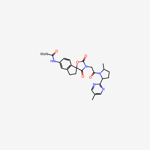 CNC(=O)Nc1ccc2c(c1)CCC21OC(=O)N(CC(=O)N2C(C)CCC2c2ncc(C)cn2)C1=O